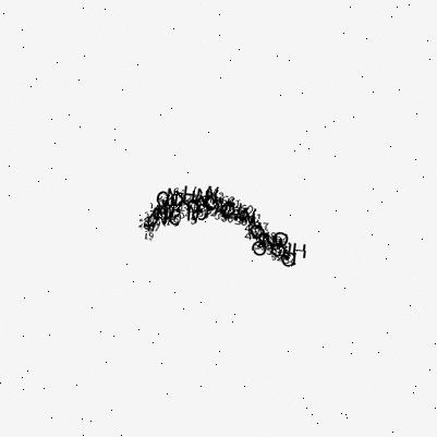 Cn1cc(-c2ccnc(N3CCn4c(cc5c4CC(C)(C)C5)C3=O)c2CO)cc(Nc2ccc(N3CCN(C4CN(Cc5ccc6c(c5)CN(C5CCC(=O)NC5=O)C6=O)C4)CC3)cn2)c1=O